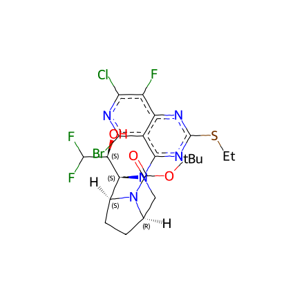 CCSc1nc(N2C[C@H]3CC[C@@H]([C@H]2[C@H](O)C(F)F)N3C(=O)OC(C)(C)C)c2c(Br)nc(Cl)c(F)c2n1